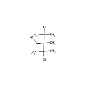 CC(C)(O)C(C)(CO)C(C)(C)O